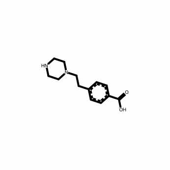 O=C(O)c1ccc(CCN2CCNCC2)cc1